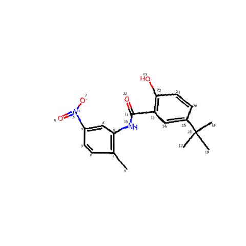 Cc1ccc([N+](=O)[O-])cc1NC(=O)c1cc(C(C)(C)C)ccc1O